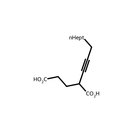 CCCCCCCCC#CC(CCC(=O)O)C(=O)O